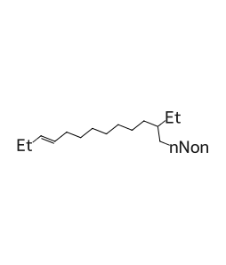 [CH2]CC=CCCCCCCCC(CC)CCCCCCCCC[CH2]